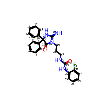 N=C1NC(c2ccccc2)(c2ccccc2)C(=O)N1CCCNC(=O)Nc1ccccc1F